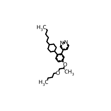 CCCCCC1CCC(c2ccc(O[C@@H](C)COCCCC)cc2-c2ccnnc2)CC1